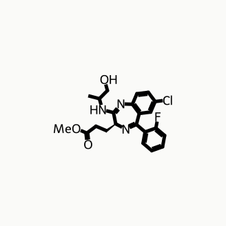 COC(=O)CC[C@@H]1N=C(c2ccccc2F)c2cc(Cl)ccc2N=C1NC(C)CO